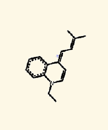 CCN1C=C/C(=C\C=C(C)C)c2ccccc21